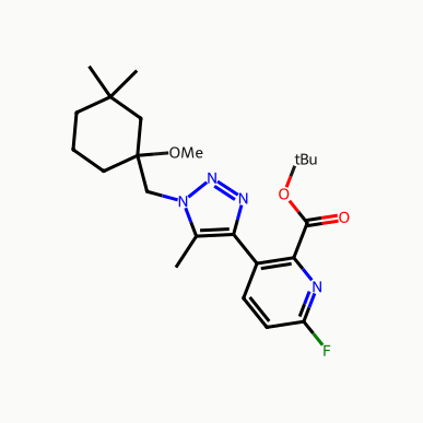 COC1(Cn2nnc(-c3ccc(F)nc3C(=O)OC(C)(C)C)c2C)CCCC(C)(C)C1